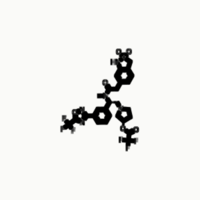 CN(C(=O)Cc1ccc2c(c1)NS(=O)(=O)C2)[C@H](CN1CC[C@H](OC(=O)C(F)(F)F)C1)c1cccc(-c2noc(C(F)(F)F)n2)c1